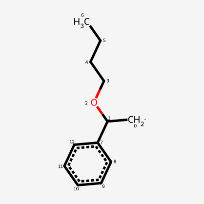 [CH2]C(OCCCC)c1ccccc1